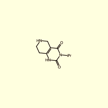 CC(C)n1c(=O)[nH]c2c(c1=O)CNCC2